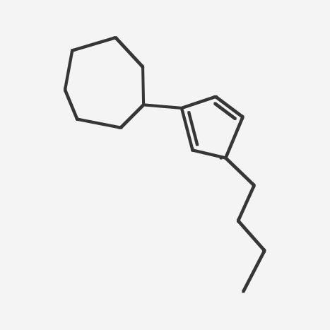 CCCC[C]1C=CC(C2CCCCCC2)=C1